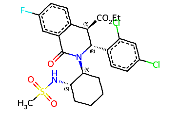 CCOC(=O)[C@@H]1c2ccc(F)cc2C(=O)N([C@H]2CCCC[C@@H]2NS(C)(=O)=O)[C@H]1c1ccc(Cl)cc1Cl